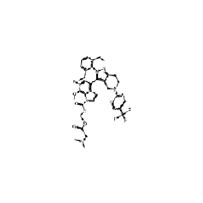 CCc1cccc(CC)c1-n1nc2c(c1-c1cc(F)c(OC)c3c1ccn3C(=O)OCOC(=O)CN(C)C)CN(c1ncc(C(F)(F)F)cn1)CC2